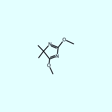 COC1=NC(C)(C)C(OC)=N1